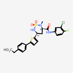 CN1[C@@H](C(=O)Nc2ccc(F)c(Cl)c2)C[C@@H](c2ccc(-c3ccc(CC(=O)O)cc3)s2)NS1(=O)=O